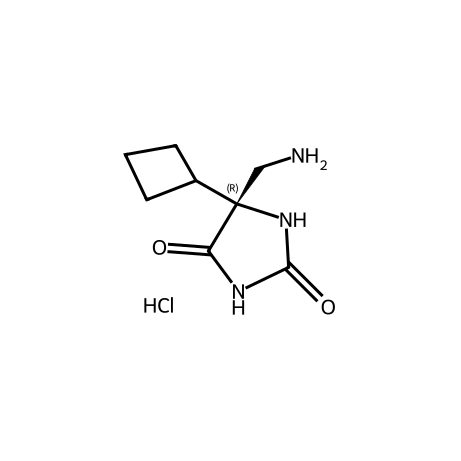 Cl.NC[C@@]1(C2CCC2)NC(=O)NC1=O